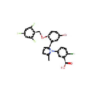 Cc1ccc(-c2cc(Br)ccc2OCc2c(F)cc(F)cc2F)n1-c1ccc(Cl)c(C(=O)O)c1